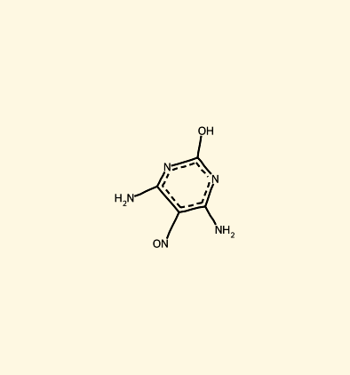 Nc1nc(O)nc(N)c1N=O